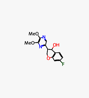 COc1ncc(C2COc3cc(F)ccc3C2O)nc1OC